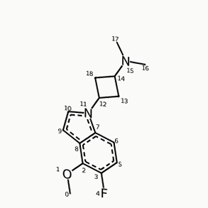 COc1c(F)ccc2c1ccn2C1CC(N(C)C)C1